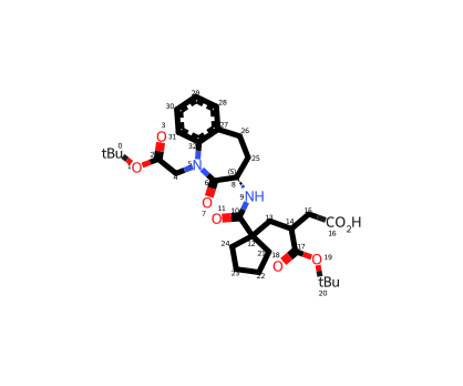 CC(C)(C)OC(=O)CN1C(=O)[C@@H](NC(=O)C2(CC(CC(=O)O)C(=O)OC(C)(C)C)CCCC2)CCc2ccccc21